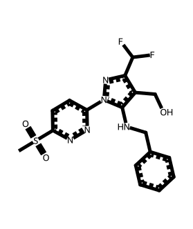 CS(=O)(=O)c1ccc(-n2nc(C(F)F)c(CO)c2NCc2ccccc2)nn1